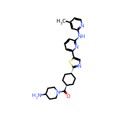 Cc1ccnc(Nc2cccc(-c3cnc([C@H]4CC[C@H](C(=O)N5CCC(N)CC5)CC4)s3)n2)c1